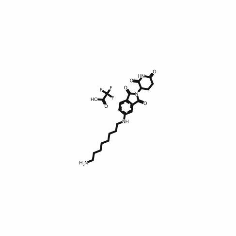 NCCCCCCCCNc1ccc2c(c1)C(=O)N(C1CCC(=O)NC1=O)C2=O.O=C(O)C(F)(F)F